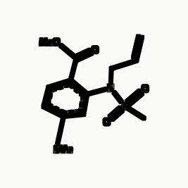 C=CCN(c1cc(SC)ccc1C(=O)OC)S(C)(=O)=O